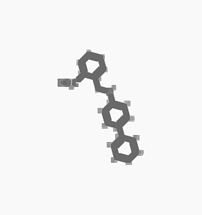 O=C(O)c1ccccc1COc1ccc(-c2ccccc2)cc1